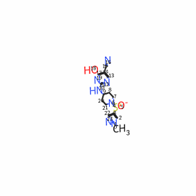 Cn1cc([S+]([O-])N2CCC(Nc3ncc(C#N)c(O)n3)CC2)cn1